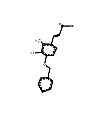 Cc1c(/C=C/C(=O)O)ccc(OCc2ccccc2)c1C